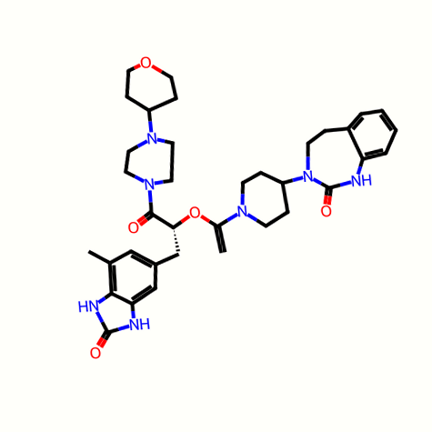 C=C(O[C@H](Cc1cc(C)c2[nH]c(=O)[nH]c2c1)C(=O)N1CCN(C2CCOCC2)CC1)N1CCC(N2CCc3ccccc3NC2=O)CC1